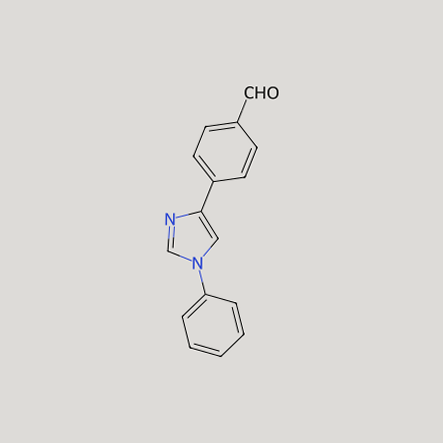 O=Cc1ccc(-c2cn(-c3ccccc3)cn2)cc1